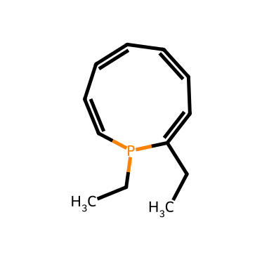 CCc1cccccccp1CC